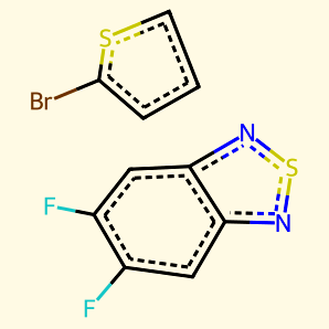 Brc1cccs1.Fc1cc2nsnc2cc1F